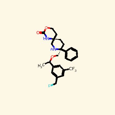 CC(OC[C@@]1(c2ccccc2)CC[C@@]2(CCOC(=O)N2)CN1)c1cc(CF)cc(C(F)(F)F)c1